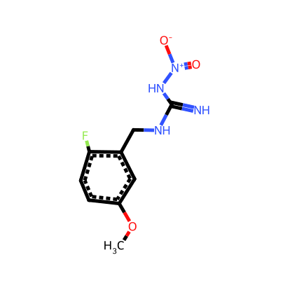 COc1ccc(F)c(CNC(=N)N[N+](=O)[O-])c1